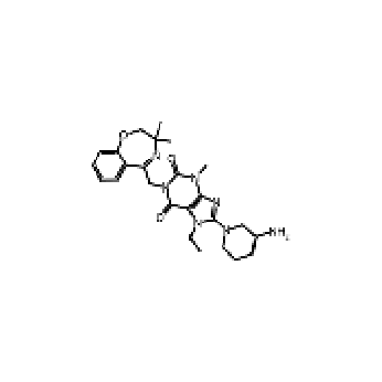 CCn1c(N2CCCC(N)C2)nc2c1c(=O)n(CC1=NC(C)(C)COc3ccccc31)c(=O)n2C